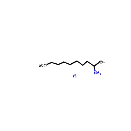 CCCCCCCCCCCCCCCC(N)C(C)(C)C.I